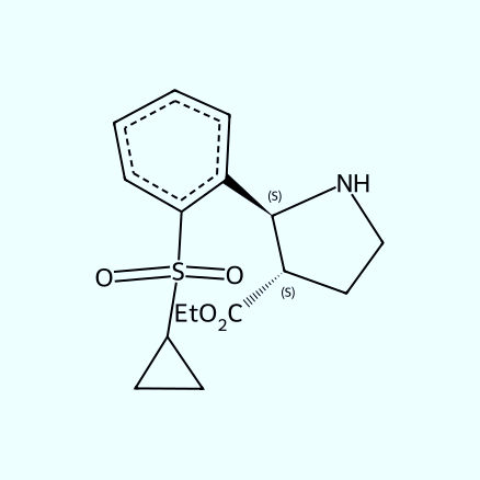 CCOC(=O)[C@H]1CCN[C@@H]1c1ccccc1S(=O)(=O)C1CC1